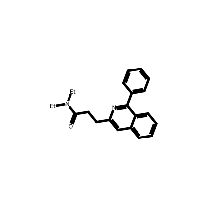 CCN(CC)C(=O)CCc1cc2ccccc2c(-c2ccccc2)n1